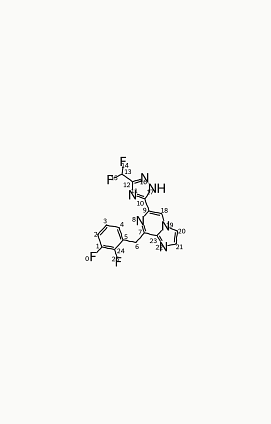 Fc1cccc(Cc2nc(-c3nc(C(F)F)n[nH]3)cn3ccnc23)c1F